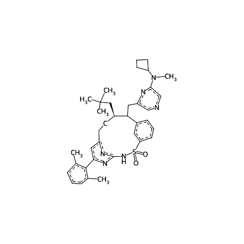 Cc1cccc(C)c1-c1cc2nc(n1)NS(=O)(=O)c1cccc(c1)C(Cc1cncc(N(C)C3CCC3)n1)[C@H](CC(C)(C)C)CC2